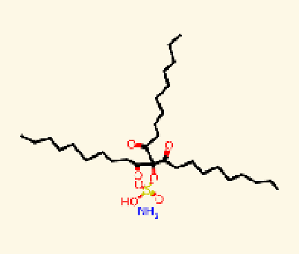 CCCCCCCCCC(=O)C(OS(=O)(=O)O)(C(=O)CCCCCCCCC)C(=O)CCCCCCCCC.N